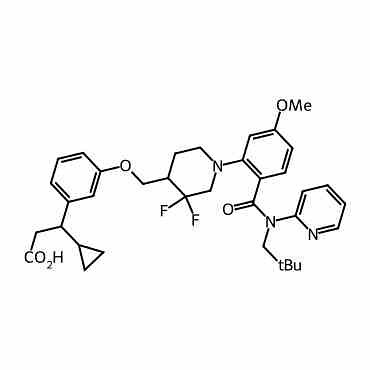 COc1ccc(C(=O)N(CC(C)(C)C)c2ccccn2)c(N2CCC(COc3cccc(C(CC(=O)O)C4CC4)c3)C(F)(F)C2)c1